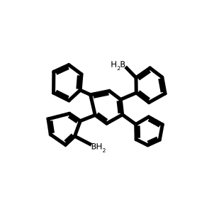 Bc1ccccc1-c1cc(-c2ccccc2)c(-c2ccccc2B)cc1-c1ccccc1